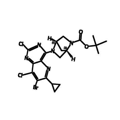 CC(C)(C)OC(=O)N1C[C@@H]2C[C@H]1CN2c1nc(Cl)nc2c(Cl)c(Br)c(C3CC3)nc12